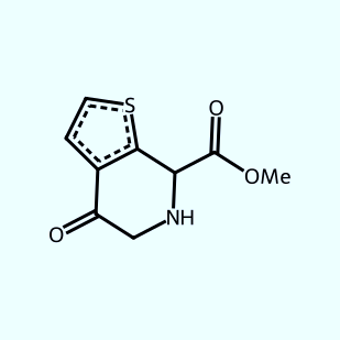 COC(=O)C1NCC(=O)c2ccsc21